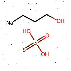 O=S(O)(O)=S.OCC[CH2][Na]